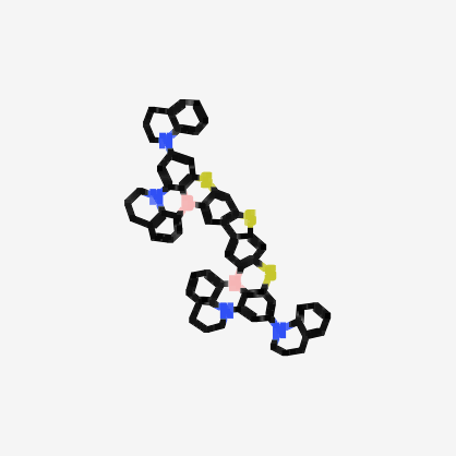 c1ccc2c(c1)CCCN2c1cc2c3c(c1)N1CCCc4cccc(c41)B3c1cc3c(cc1S2)sc1cc2c(cc13)B1c3cccc4c3N(CCC4)c3cc(N4CCCc5ccccc54)cc(c31)S2